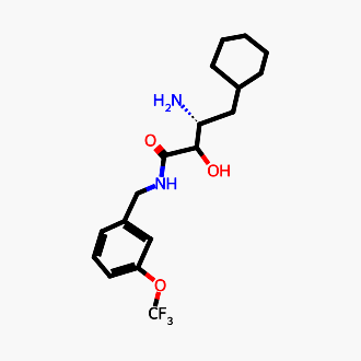 N[C@H](CC1CCCCC1)C(O)C(=O)NCc1cccc(OC(F)(F)F)c1